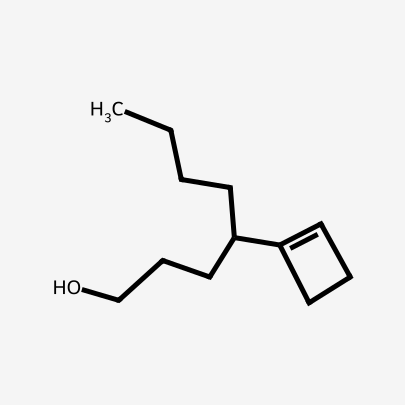 CCCCC(CCCO)C1=CCC1